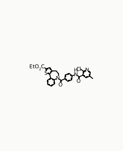 CCOC(=O)c1cc2c(s1)-c1ccccc1N(C(=O)c1ccc(NC(=O)c3cc(C)cnc3Cl)cc1)CC2